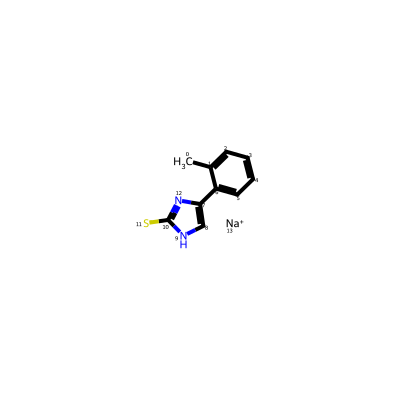 Cc1ccccc1-c1c[nH]c([S-])n1.[Na+]